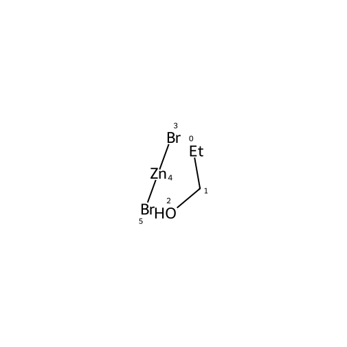 CCCO.[Br][Zn][Br]